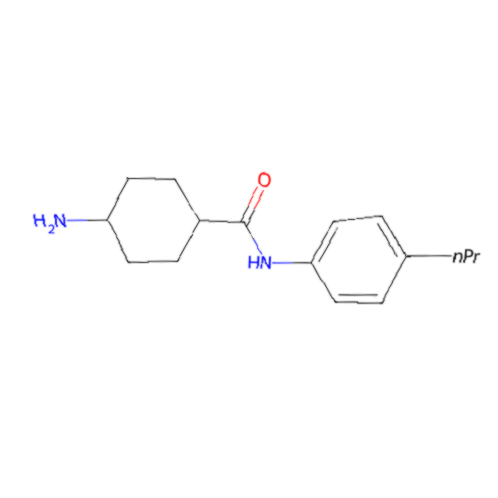 CCCc1ccc(NC(=O)C2CCC(N)CC2)cc1